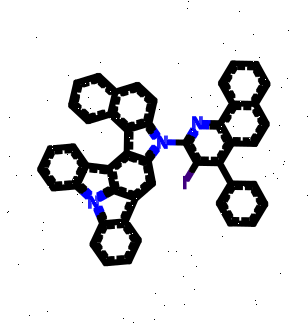 Ic1c(-n2c3ccc4ccccc4c3c3c4c5ccccc5n5c6ccccc6c(cc32)c45)nc2c(ccc3ccccc32)c1-c1ccccc1